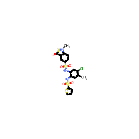 Cc1cc(NS(=O)(=O)c2cccs2)c(NS(=O)(=O)c2ccc3c(c2)c(=O)sn3C)cc1Cl